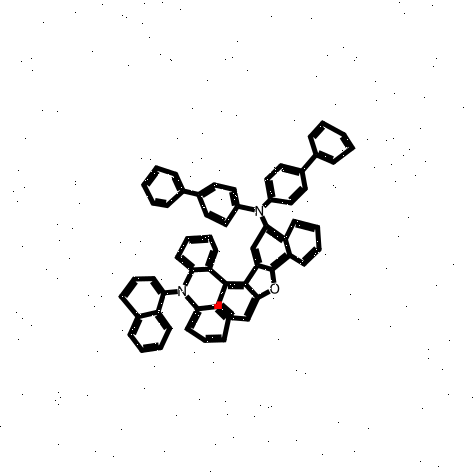 c1ccc(-c2ccc(N(c3ccc(-c4ccccc4)cc3)c3cc4c(oc5cccc(-c6ccccc6N(c6ccccc6)c6cccc7ccccc67)c54)c4ccccc34)cc2)cc1